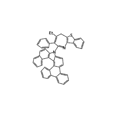 CCC1=C(c2ccccc2)C(n2c3ccc4ccccc4c3c3c4c5ccccc5c5ccccc5c4ccc32)=Nc2c(sc3ccccc23)C1